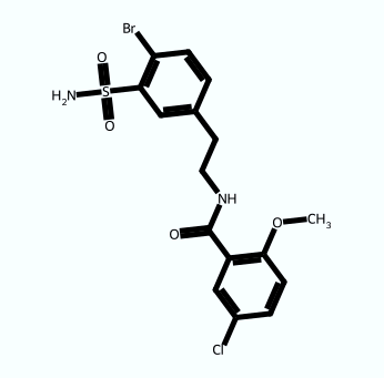 COc1ccc(Cl)cc1C(=O)NCCc1ccc(Br)c(S(N)(=O)=O)c1